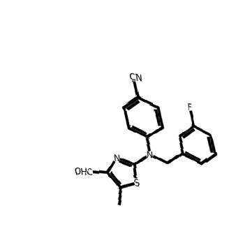 Cc1sc(N(Cc2cccc(F)c2)c2ccc(C#N)cc2)nc1C=O